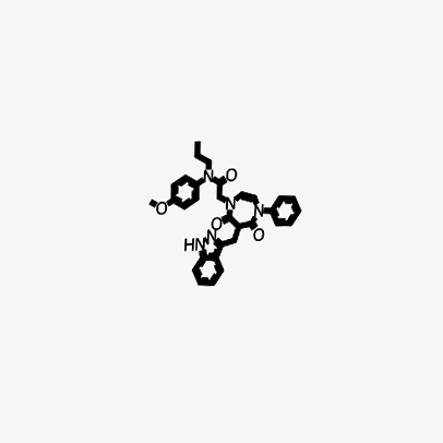 CCCN(C(=O)CN1C=CN(c2ccccc2)C(=O)C(Cc2n[nH]c3ccccc23)C1=O)c1ccc(OC)cc1